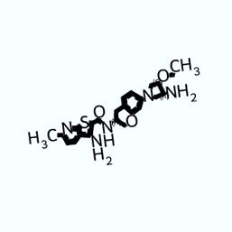 CCO[C@H]1CN(c2ccc3c(c2)OC[C@H](NC(=O)c2sc4nc(C)ccc4c2N)C3)C[C@H]1N